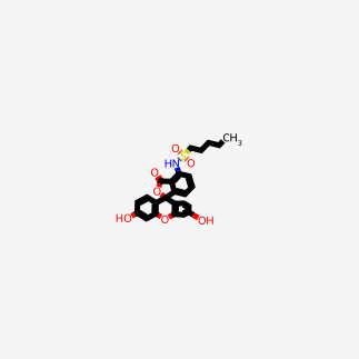 CCCCCS(=O)(=O)Nc1cccc2c1C(=O)OC21c2ccc(O)cc2Oc2cc(O)ccc21